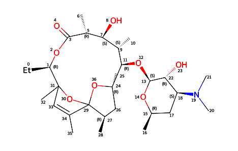 CC[C@H]1OC(=O)[C@H](C)[C@@H](O)[C@H](C)[C@@H](O[C@@H]2O[C@H](C)C[C@H](N(C)C)[C@H]2O)[C@@]2(C)C[C@@H](C)C3(OC1(C)C=C3C)O2